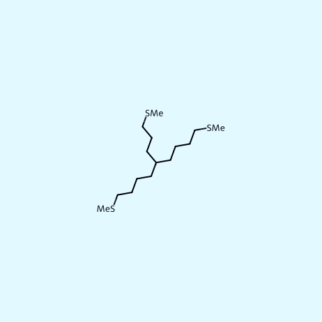 CSCCCC[C](CCCCSC)CCCSC